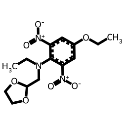 CCOc1cc([N+](=O)[O-])c(N(CC)CC2OCCO2)c([N+](=O)[O-])c1